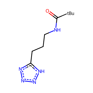 CC(C)(C)C(=O)NCCCc1nnn[nH]1